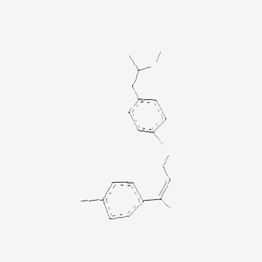 CCOC(Cc1ccc(OCC=C(C)c2ccc(I)cc2)cc1)C(=O)O